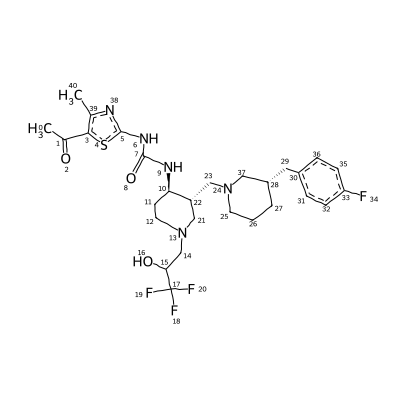 CC(=O)c1sc(NC(=O)N[C@@H]2CCN(CC(O)C(F)(F)F)C[C@H]2CN2CCC[C@@H](Cc3ccc(F)cc3)C2)nc1C